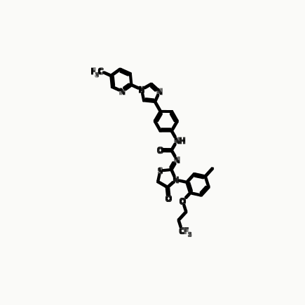 Cc1ccc(OCCC(F)(F)F)c(N2C(=O)CS/C2=N\C(=O)Nc2ccc(-c3cn(-c4ccc(C(F)(F)F)cn4)cn3)cc2)c1